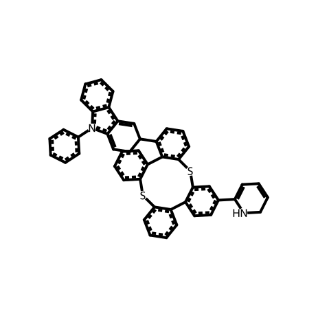 C1=CCNC(c2ccc3c(c2)Sc2cccc(C4C=c5c(n(-c6ccccc6)c6ccccc56)=CC4)c2-c2ccccc2Sc2ccccc2-3)=C1